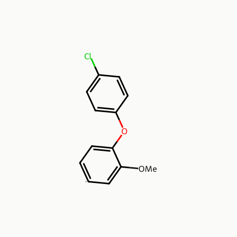 COc1c[c]ccc1Oc1ccc(Cl)cc1